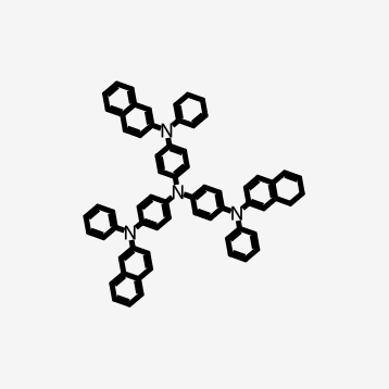 C1=CC(N(c2ccc(N(c3ccc(N(c4ccccc4)c4ccc5c(c4)CCC=C5)cc3)c3ccc(N(c4ccccc4)c4ccc5ccccc5c4)cc3)cc2)c2ccc3ccccc3c2)=CCC1